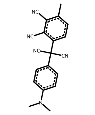 Cc1ccc(C(C#N)(C#N)c2ccc(N(C)C)cc2)c(C#N)c1C#N